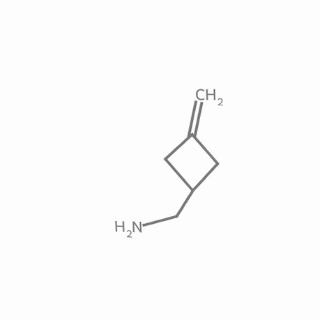 C=C1CC(CN)C1